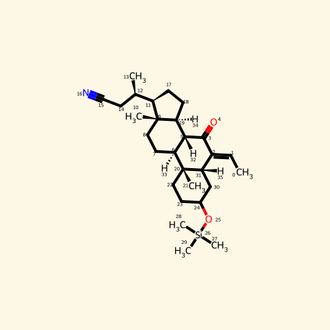 C/C=C1/C(=O)[C@@H]2[C@H](CC[C@]3(C)[C@@H]([C@H](C)CC#N)CC[C@@H]23)[C@@]2(C)CCC(O[Si](C)(C)C)C[C@@H]12